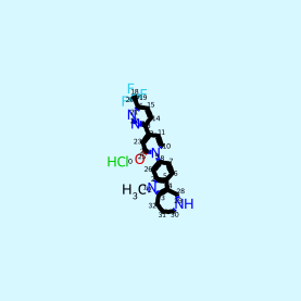 Cl.Cn1c2c(c3ccc(-n4ccc(-c5ccc(C(F)(F)F)nn5)cc4=O)cc31)CNCCC2